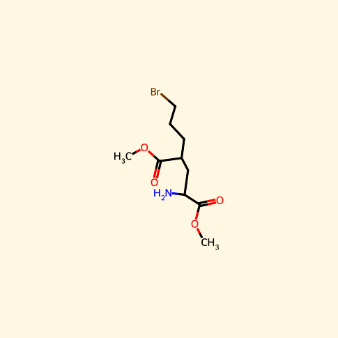 COC(=O)C(N)CC(CCCBr)C(=O)OC